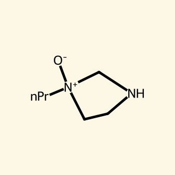 [CH2]CC[N+]1([O-])CCNC1